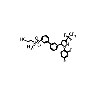 CN(CCO)S(=O)(=O)c1cccc(-c2cccc(C3CC(C(F)(F)C(F)(F)F)=NN3c3ccc(F)cc3F)c2)c1